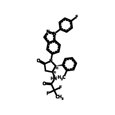 Cc1ccccc1[C@@H]1[C@@H](NC(=O)C(C)(F)F)CC(=O)N1c1ccc2c(cnn2-c2ccc(F)cc2)c1